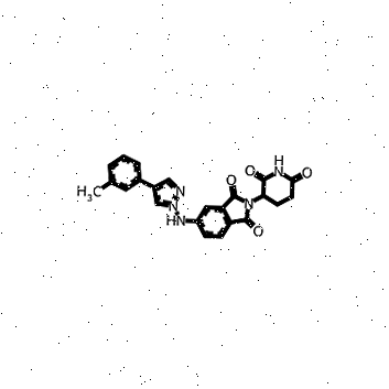 Cc1cccc(-c2cnn(Nc3ccc4c(c3)C(=O)N(C3CCC(=O)NC3=O)C4=O)c2)c1